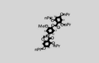 CCCOc1cc(OCCC)c(C(=O)Oc2ccc(OC(=O)c3c(OCCC)cc(OCCC)cc3OCCC)c(OC)c2)c(OCCC)c1